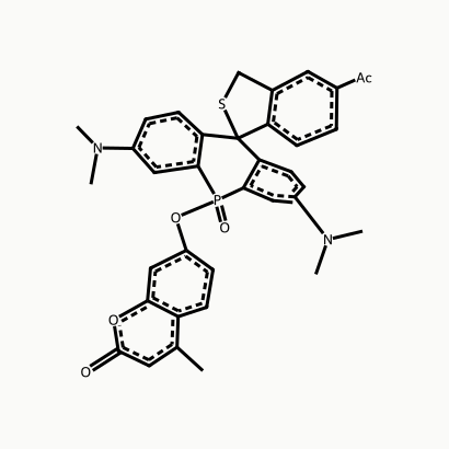 CC(=O)c1ccc2c(c1)CSC21c2ccc(N(C)C)cc2P(=O)(Oc2ccc3c(C)cc(=O)oc3c2)c2cc(N(C)C)ccc21